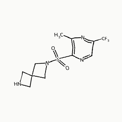 Cc1nc(C(F)(F)F)cnc1S(=O)(=O)N1CC2(CNC2)C1